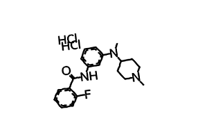 CN1CCC(N(C)c2cccc(NC(=O)c3ccccc3F)c2)CC1.Cl.Cl